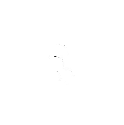 CN(C)C[C@H](S)c1ccccc1